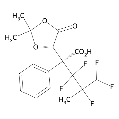 CC1(C)OC(=O)[C@H]([C@](C(=O)O)(c2ccccc2)C(F)(F)C(C)(F)C(F)F)O1